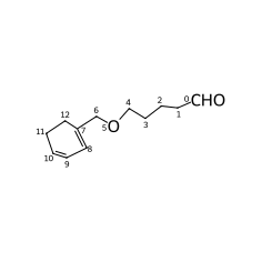 O=CCCCCOCC1=CC=CCC1